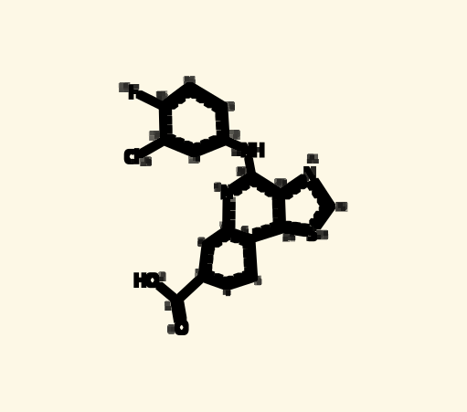 O=C(O)c1ccc2c(c1)nc(Nc1ccc(F)c(Cl)c1)c1ncsc12